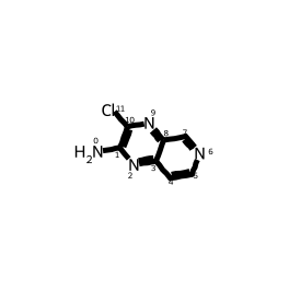 Nc1nc2ccncc2nc1Cl